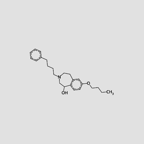 CCCCOc1ccc2c(c1)CCN(CCCCc1ccccc1)CC2O